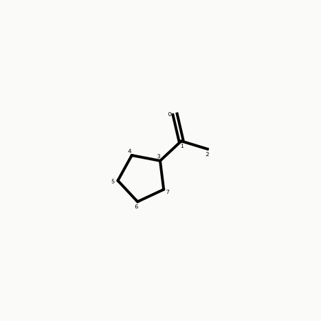 C=C(C)C1CCCC1